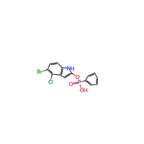 O=P(O)(Oc1cc2c(Cl)c(Br)ccc2[nH]1)c1ccccc1